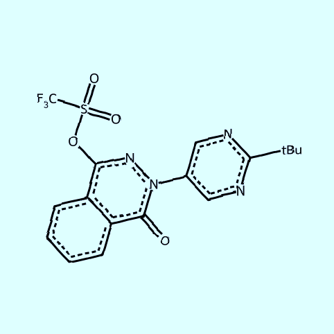 CC(C)(C)c1ncc(-n2nc(OS(=O)(=O)C(F)(F)F)c3ccccc3c2=O)cn1